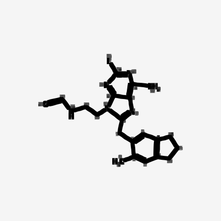 Cc1cc2c(cc1Cc1nc3c(N)nc(F)nc3n1CCNC=O)CCC2